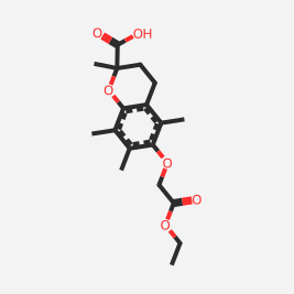 CCOC(=O)COc1c(C)c(C)c2c(c1C)CCC(C)(C(=O)O)O2